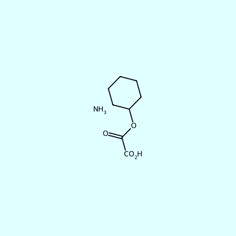 N.O=C(O)C(=O)OC1CCCCC1